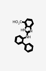 O=C(O)c1cccc2nc(Nc3ccccc3-c3ccccc3)[nH]c12